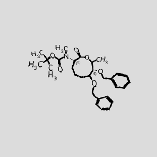 CC1OC(=O)[C@@H](N(C)C(=O)OC(C)(C)C)CCCC(OCc2ccccc2)[C@H]1OCc1ccccc1